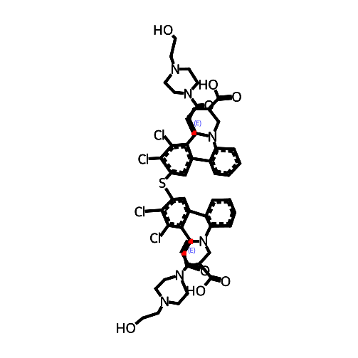 O=C(O)C1CCCN(c2ccccc2-c2cc(Sc3cc(-c4ccccc4N4CCCC(C(=O)O)C4)c(/C=C/C(=O)N4CCN(CCO)CC4)c(Cl)c3Cl)c(Cl)c(Cl)c2/C=C/C(=O)N2CCN(CCO)CC2)C1